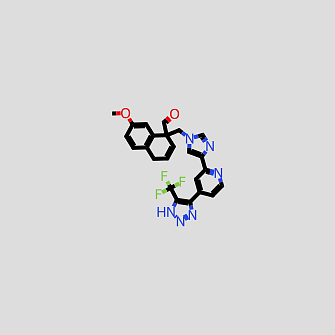 COc1ccc2c(c1)C(C=O)(Cn1cnc(-c3cc(-c4nn[nH]c4C(F)(F)F)ccn3)c1)C=CC2